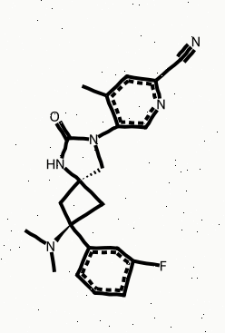 Cc1cc(C#N)ncc1N1C[C@]2(C[C@](c3cccc(F)c3)(N(C)C)C2)NC1=O